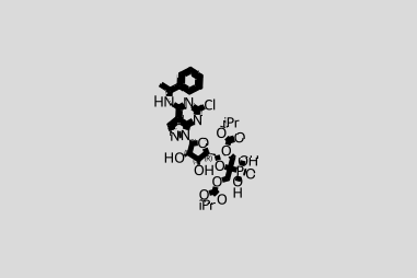 CC(C)OC(=O)OCC(COC(=O)OC(C)C)(OC[C@H]1O[C@@H](n2ncc3c(NC(C)c4ccccc4)nc(Cl)nc32)[C@H](O)[C@@H]1O)P(=O)(O)O